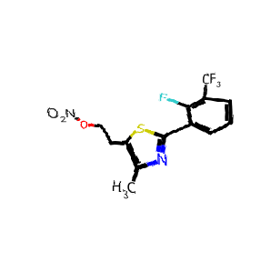 Cc1nc(-c2cccc(C(F)(F)F)c2F)sc1CCO[N+](=O)[O-]